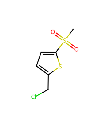 CS(=O)(=O)c1ccc(CCl)s1